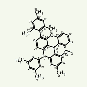 Cc1cc(C)cc(N2c3cc(C)cc(C)c3B3c4ccccc4Oc4c(-c5c(C)cc(C)cc5C)ccc2c43)c1